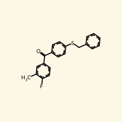 Cc1cc(C(=O)c2ccc(SCc3ccccc3)cc2)ccc1F